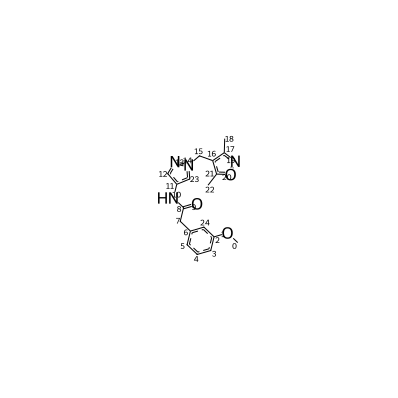 COc1cccc(CC(=O)Nc2cnn(Cc3c(C)noc3C)c2)c1